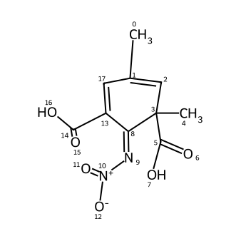 CC1=CC(C)(C(=O)O)C(=N[N+](=O)[O-])C(C(=O)O)=C1